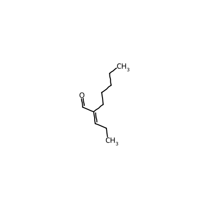 CC/C=C(/C=O)CCCCC